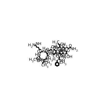 CC[C@@H](C)[C@@H](NC(=O)[C@@H](CCC(N)=O)NC(=O)[C@H](CO)NC(=O)[C@@H](NC(=O)[C@@H](Cc1ccccc1)NC)[C@@H](C)CC)C(=O)N[C@H](C(=O)N[C@@H](CO)C(=O)N[C@H]1C(=O)N[C@@H](CCCCC(=N)N)C(=O)N[C@@H](CC(C)C)C(=O)N[C@@H]([C@@H](C)CC)C(=O)O[C@H]1C)[C@@H](C)CC